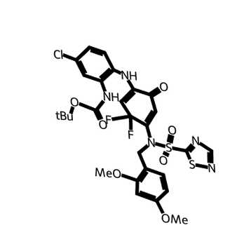 COc1ccc(CN(C2=CC(=O)C(Nc3ccc(Cl)cc3NC(=O)OC(C)(C)C)=CC2(F)F)S(=O)(=O)c2ncns2)c(OC)c1